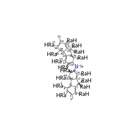 Cc1[c]([RaH])[c]([RaH])c2c([c]1[RaH])[C]([RaH])([RaH])c1[c]([RaH])c(N(C)c3[c]([RaH])[c]([RaH])c4c([c]3[RaH])[C]([RaH])([RaH])c3[c]([RaH])c(C)[c]([RaH])[c]([RaH])c3-4)[c]([RaH])[c]([RaH])c1-2